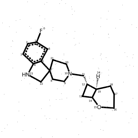 Fc1ccc2c(c1)C1(CCN(C[C@H]3CC4OCCC[C@@H]43)CC1)CN2